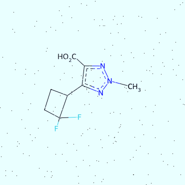 Cn1nc(C(=O)O)c(C2CCC2(F)F)n1